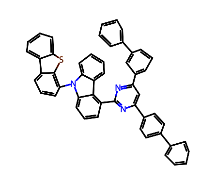 c1ccc(-c2ccc(-c3cc(-c4cccc(-c5ccccc5)c4)nc(-c4cccc5c4c4ccccc4n5-c4cccc5c4sc4ccccc45)n3)cc2)cc1